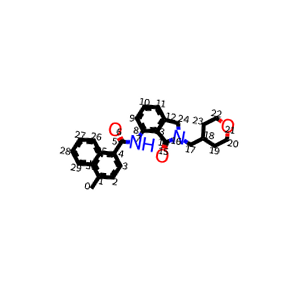 Cc1ccc(C(=O)Nc2cccc3c2C(=O)N(CC2CCOCC2)C3)c2ccccc12